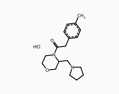 Cc1ccc(CC(=O)N2CCOCC2CN2CCCC2)cc1.Cl